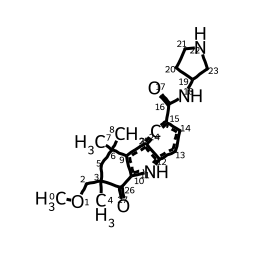 COCC1(C)CC(C)(C)c2c([nH]c3ccc(C(=O)NC4CCNC4)cc23)C1=O